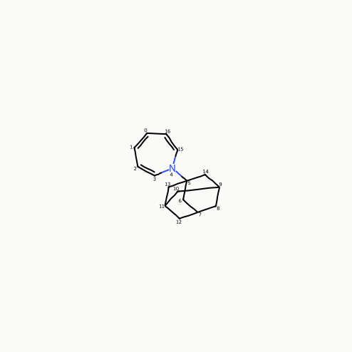 C1=CC=CN(C23CC4CC(CC(C4)C2)C3)C=C1